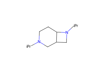 CC(C)N1CCC2C(C1)CN2C(C)C